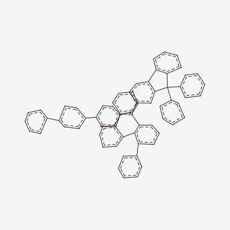 c1ccc(-c2ccc(-c3ccc(N(c4ccc5c(c4)C(c4ccccc4)(c4ccccc4)c4ccccc4-5)c4cccc(-c5ccccc5)c4-c4ccccc4-c4ccccc4)cc3)cc2)cc1